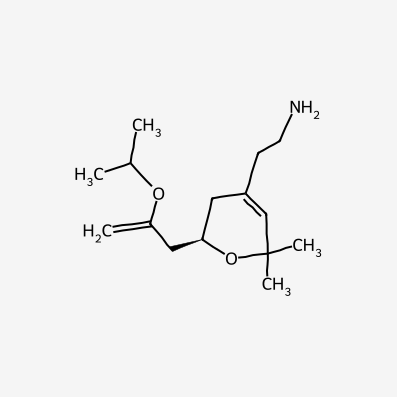 C=C(C[C@H]1CC(CCN)=CC(C)(C)O1)OC(C)C